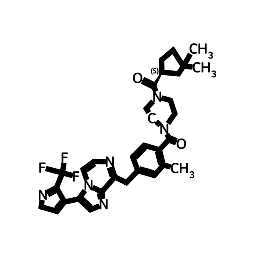 Cc1cc(Cc2nccn3c(C4=CCN=C4C(F)(F)F)cnc23)ccc1C(=O)N1CCN(C(=O)[C@H]2CCC(C)(C)C2)CC1